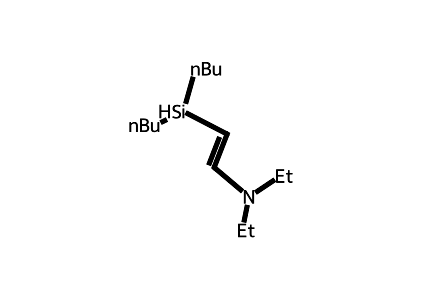 CCCC[SiH](C=CN(CC)CC)CCCC